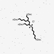 CCCCCCCCCCCCCCCC[N+](C)(C)C(CCCCCCCCCCCC)CC(CCCCCCCCCCCC)CCCCCCCCCCCCCC.[Cl-]